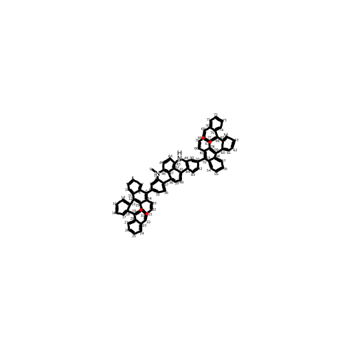 CN1c2cc(-c3c4ccccc4c(-c4ccccc4-c4cccc5ccccc45)c4ccccc34)ccc2-c2ccc3c4c(ccc1c24)Nc1cc(-c2c4ccccc4c(-c4ccccc4-c4cccc5ccccc45)c4ccccc24)ccc1-3